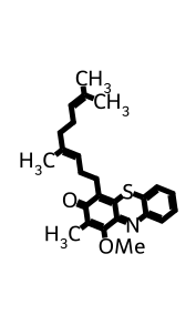 COc1c2nc3ccccc3sc-2c(CC/C=C(\C)CCC=C(C)C)c(=O)c1C